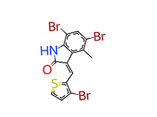 Cc1c(Br)cc(Br)c2c1C(=Cc1sccc1Br)C(=O)N2